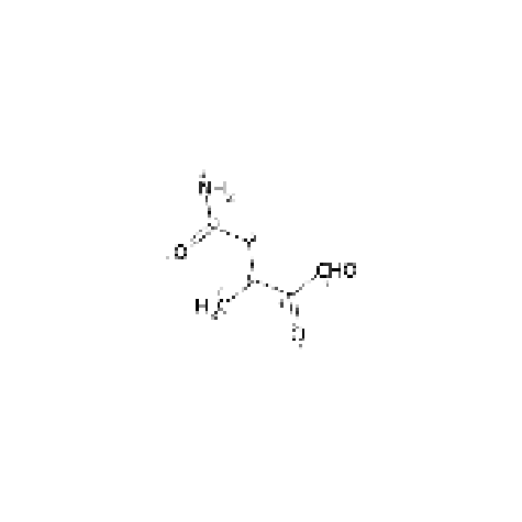 CC(CC(N)=O)C(=O)C=O